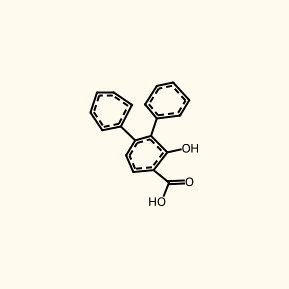 O=C(O)c1ccc(-c2ccccc2)c(-c2ccccc2)c1O